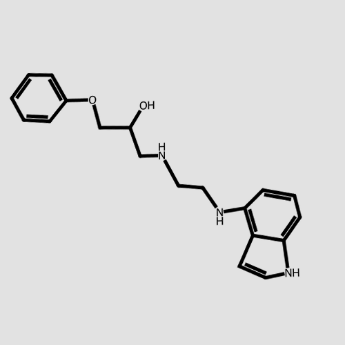 OC(CNCCNc1cccc2[nH]ccc12)COc1ccccc1